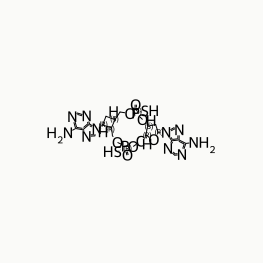 Nc1ncnc2c1ncn2[C@@H]1C[C@@H]2CO[P@](=O)(S)O[C@H]3C[C@H](n4cnc5c(N)ncnc54)O[C@@H]3CO[P@](=O)(S)OC[C@H]21